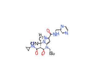 CC(C)(C)CN1C(=O)C(C(=O)NC2CC2)C(C)(N=O)n2nc(C(=O)NCc3cnccn3)cc21